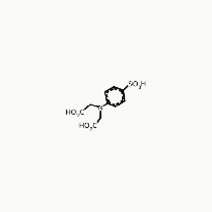 O=C(O)CN(CC(=O)O)c1ccc(S(=O)(=O)O)cc1